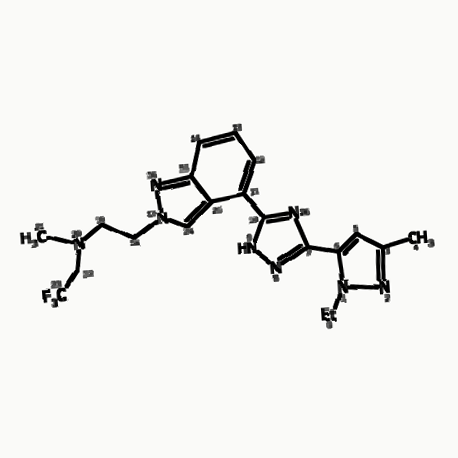 CCn1nc(C)cc1-c1n[nH]c(-c2cccc3nn(CCN(C)CC(F)(F)F)cc23)n1